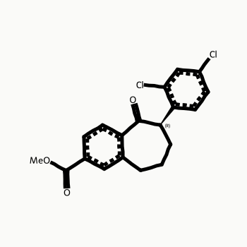 COC(=O)c1ccc2c(c1)CCC[C@H](c1ccc(Cl)cc1Cl)C2=O